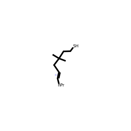 CCC/C=C/CC(C)(C)CCS